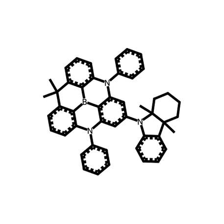 CC1(C)c2cccc3c2B2c4c(cc(N5c6ccccc6C6(C)CCCCC56C)cc4N(c4ccccc4)c4cccc1c42)N3c1ccccc1